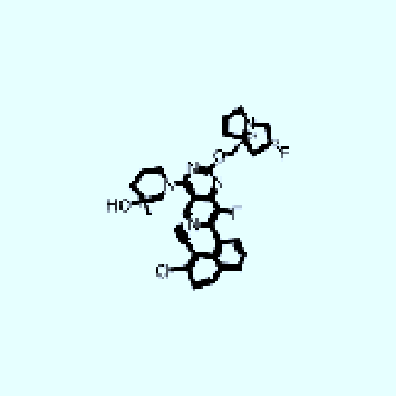 C#Cc1c(Cl)ccc2cccc(-c3ncc4c(N5CCC[C@@](C)(O)C5)nc(OC[C@@]56CCCN5C[C@H](F)C6)nc4c3F)c12